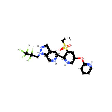 CCS(=O)(=O)c1cc(Oc2ccccn2)cnc1-c1cc2cnn(CC(F)(F)C(F)(F)F)c2cn1